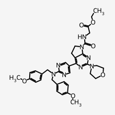 CCOC(=O)CNC(=O)N1CCc2c(-c3cnc(N(Cc4ccc(OC)cc4)Cc4ccc(OC)cc4)nc3)nc(N3CCOCC3)nc21